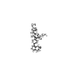 C#Cc1nc(NC(=O)NN(C(=O)OCC)c2ccc(-c3cccc4ccncc34)cc2)cs1